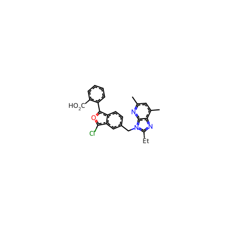 CCc1nc2c(C)cc(C)nc2n1Cc1ccc2c(-c3ccccc3C(=O)O)oc(Cl)c2c1